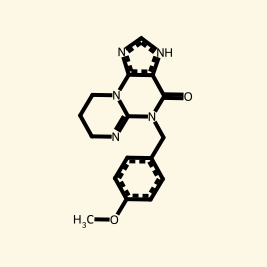 COc1ccc(CN2C(=O)c3[nH]cnc3N3CCCN=C23)cc1